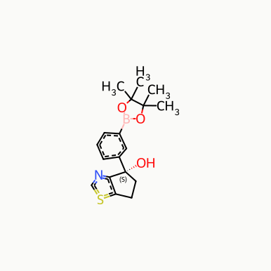 CC1(C)OB(c2cccc([C@@]3(O)CCc4scnc43)c2)OC1(C)C